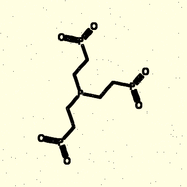 O=P(=O)CCP(CCP(=O)=O)CCP(=O)=O